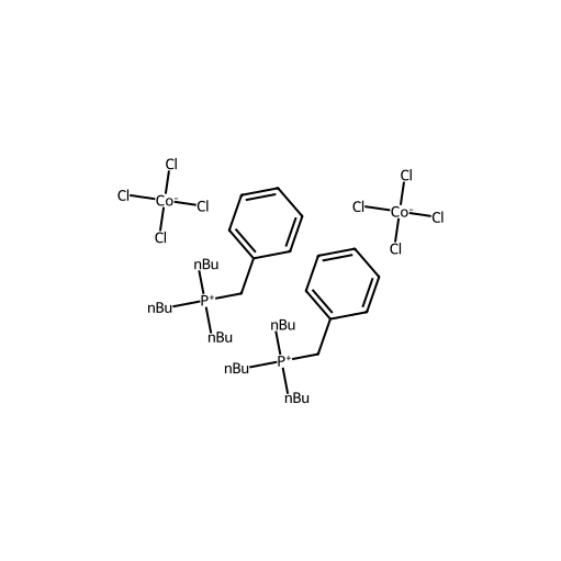 CCCC[P+](CCCC)(CCCC)Cc1ccccc1.CCCC[P+](CCCC)(CCCC)Cc1ccccc1.[Cl][Co-]([Cl])([Cl])[Cl].[Cl][Co-]([Cl])([Cl])[Cl]